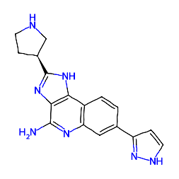 Nc1nc2cc(-c3cc[nH]n3)ccc2c2[nH]c([C@H]3CCNC3)nc12